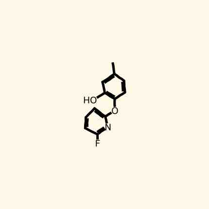 Cc1ccc(Oc2cccc(F)n2)c(O)c1